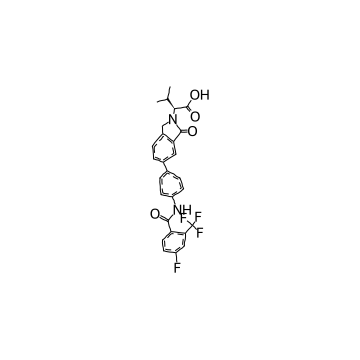 CC(C)[C@@H](C(=O)O)N1Cc2ccc(-c3ccc(NC(=O)c4ccc(F)cc4C(F)(F)F)cc3)cc2C1=O